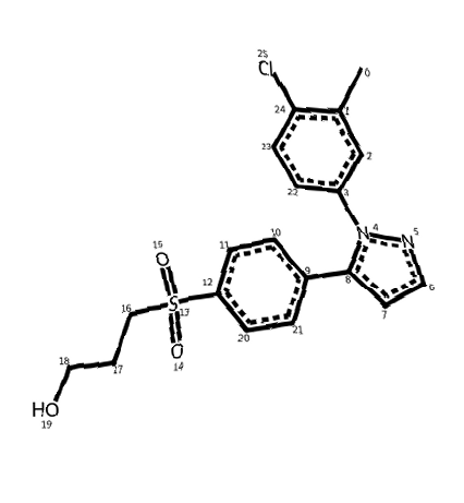 Cc1cc(-n2nccc2-c2ccc(S(=O)(=O)CCCO)cc2)ccc1Cl